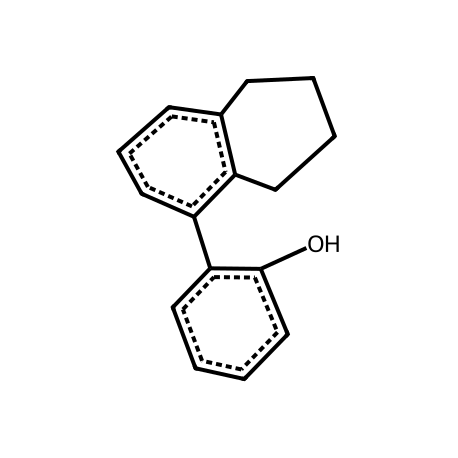 Oc1ccccc1-c1cccc2c1CCCC2